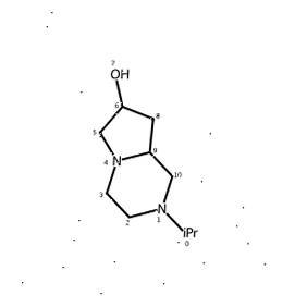 CC(C)N1CCN2CC(O)CC2C1